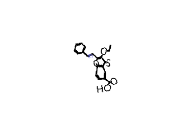 CCOc1c(/C=C/c2ccccc2)oc2ccc(C(=O)O)cc2c1=S